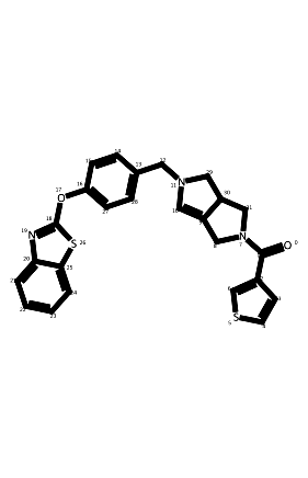 O=C(c1ccsc1)N1CC2=CN(Cc3ccc(Oc4nc5ccccc5s4)cc3)CC2C1